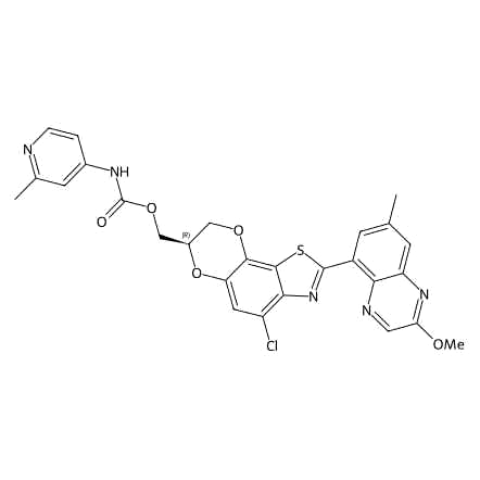 COc1cnc2c(-c3nc4c(Cl)cc5c(c4s3)OC[C@H](COC(=O)Nc3ccnc(C)c3)O5)cc(C)cc2n1